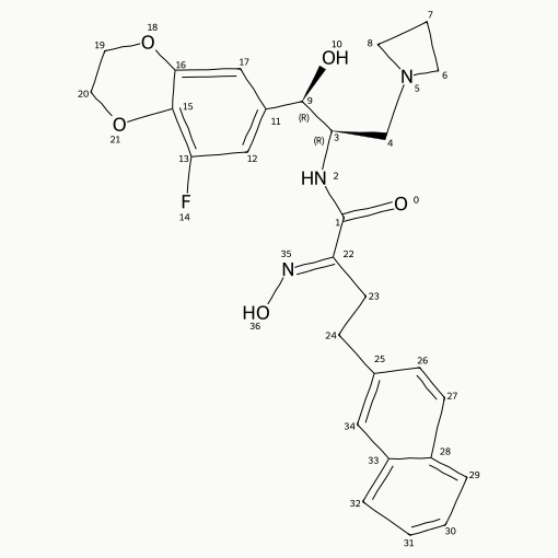 O=C(N[C@H](CN1CCC1)[C@H](O)c1cc(F)c2c(c1)OCCO2)C(CCc1ccc2ccccc2c1)=NO